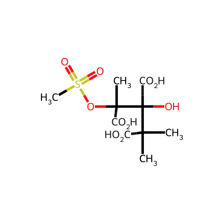 CC(C)(C(=O)O)C(O)(C(=O)O)C(C)(OS(C)(=O)=O)C(=O)O